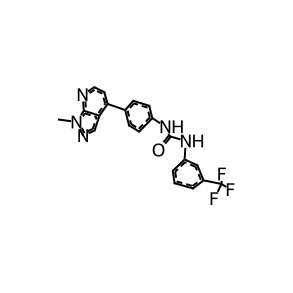 Cn1ncc2c(-c3ccc(NC(=O)Nc4cccc(C(F)(F)F)c4)cc3)ccnc21